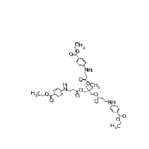 CCOC(=O)c1ccc(NCCC(=O)OCC(CC)(COC(=O)CCNc2ccc(C(=O)OCC)cc2)COC(=O)CCNc2ccc(C(=O)OCC)cc2)cc1